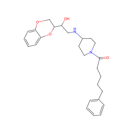 O=C(CCCCc1ccccc1)N1CCC(NCC(O)C2COc3ccccc3O2)CC1